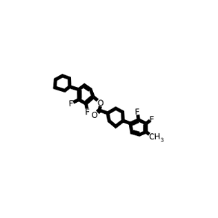 Cc1ccc(C2CCC(C(=O)Oc3ccc(C4CCCCC4)c(F)c3F)CC2)c(F)c1F